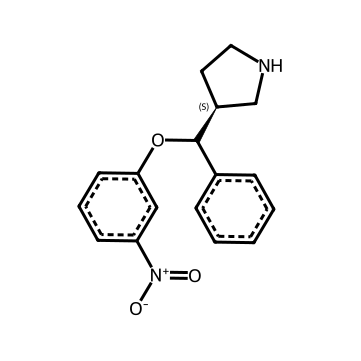 O=[N+]([O-])c1cccc(OC(c2ccccc2)[C@H]2CCNC2)c1